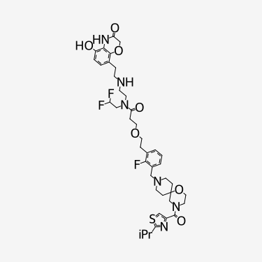 CC(C)c1nc(C(=O)N2CCOC3(CCN(Cc4cccc(CCOCCC(=O)N(CCNCCc5ccc(O)c6c5OCC(=O)N6)CC(F)F)c4F)CC3)C2)cs1